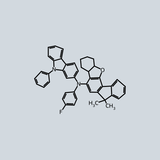 CC1(C)c2ccccc2-c2c1cc(N(c1ccc(F)cc1)c1ccc3c4ccccc4n(-c4ccccc4)c3c1)c1c2OC2CCCCC12